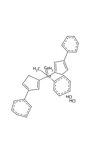 Cl.Cl.[CH3][Hf](=[GeH2])([C]1=CC(c2ccccc2)=CC1)([C]1=CC(c2ccccc2)=CC1)[c]1ccccc1